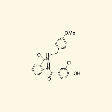 COc1ccc(CCNC(=O)c2ccccc2NC(=O)c2ccc(O)c(Cl)c2)cc1